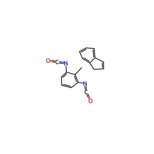 C1=Cc2ccccc2C1.Cc1c(N=C=O)cccc1N=C=O